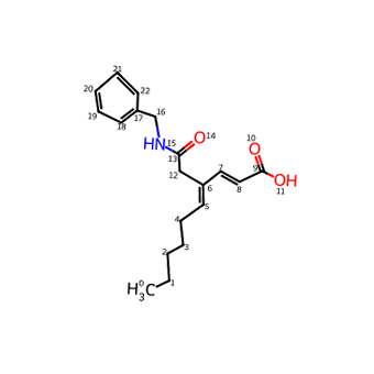 CCCCC/C=C(/C=C/C(=O)O)CC(=O)NCc1ccccc1